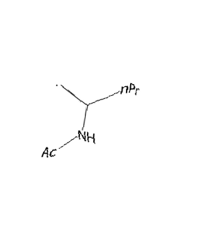 [CH2]C(CCC)NC(C)=O